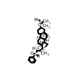 C[C@H](CS(=O)(=O)c1ccccc1)[C@H]1CC[C@H]2[C@@H]3CC=C4CC(O[Si](C)(C)C(C)(C)C)CC[C@]4(C)[C@H]3CC[C@]12C